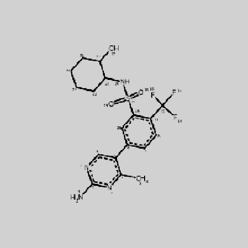 Cc1nc(N)ncc1-c1ccc(C(F)(F)F)c(S(=O)(=O)NC2CCCCC2O)c1